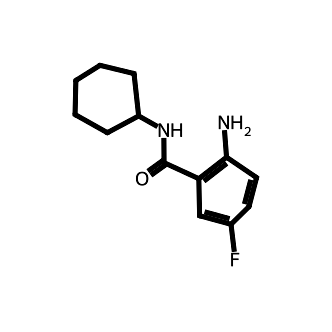 Nc1ccc(F)cc1C(=O)NC1CCCCC1